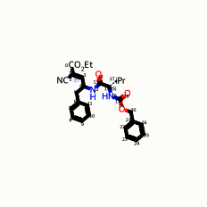 CCOC(=O)/C(C#N)=C/C(Cc1ccccc1)NC(=O)[C@@H](NC(=O)OCc1ccccc1)C(C)C